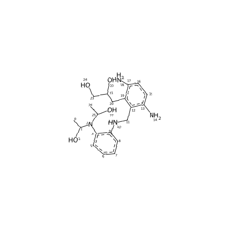 CC(O)N(c1ccccc1NCc1c(N)ccc(N)c1CC(O)CO)C(C)O